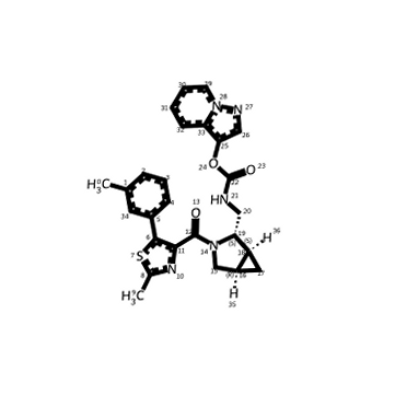 Cc1cccc(-c2sc(C)nc2C(=O)N2C[C@@H]3C[C@@H]3[C@H]2CNC(=O)Oc2cnn3ccccc23)c1